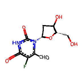 O=Cc1c(F)c(=O)[nH]c(=O)n1[C@@H]1CC(O)[C@H](CO)O1